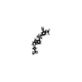 COC(=O)C1CC(N2CCC3(CCc4c(-c5noc(-c6ccc(OC(C)C)c(C#N)c6)n5)cccc43)C2)C1